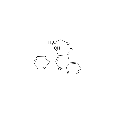 CCO.O=c1c(O)c(-c2ccccc2)oc2ccccc12